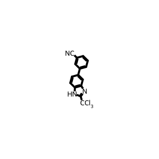 N#Cc1cccc(-c2ccc3[nH]c(C(Cl)(Cl)Cl)nc3c2)c1